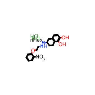 CCCCCCN(NCCOc1ccccc1[N+](=O)[O-])C1CCc2c(ccc(O)c2O)C1.Cl.Cl